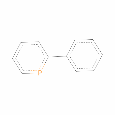 c1ccc(-c2ccccp2)cc1